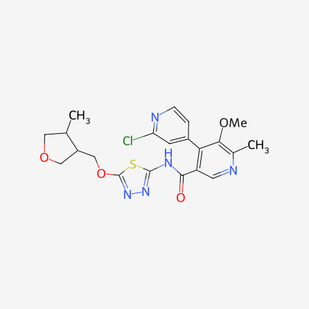 COc1c(C)ncc(C(=O)Nc2nnc(OCC3COCC3C)s2)c1-c1ccnc(Cl)c1